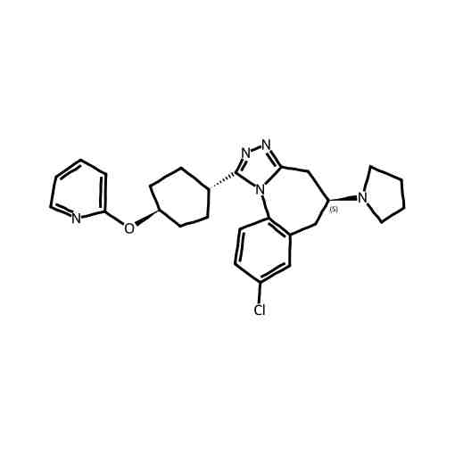 Clc1ccc2c(c1)C[C@H](N1CCCC1)Cc1nnc([C@H]3CC[C@H](Oc4ccccn4)CC3)n1-2